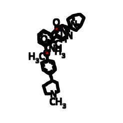 COc1cccc(C(=O)NC2CC3CCC(C2)N3c2ccc(C(=O)NCc3ccc(C4CCN(C)CC4)cc3)cn2)c1C